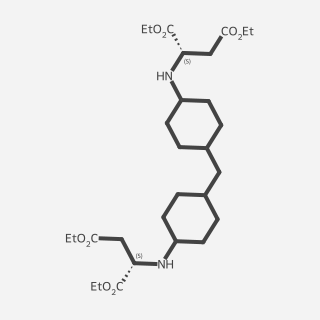 CCOC(=O)C[C@H](NC1CCC(CC2CCC(N[C@@H](CC(=O)OCC)C(=O)OCC)CC2)CC1)C(=O)OCC